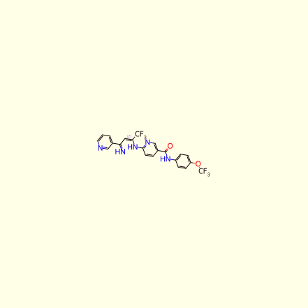 N=C(/C=C(\Nc1ccc(C(=O)Nc2ccc(OC(F)(F)F)cc2)cn1)C(F)(F)F)c1cccnc1